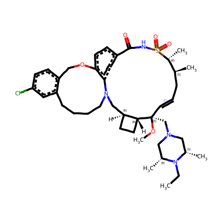 CCN1[C@H](C)CN(C[C@@]2(OC)/C=C/C[C@H](C)[C@@H](C)S(=O)(=O)NC(=O)c3ccc4c(c3)N(CCCCc3cc(Cl)ccc3CO4)C[C@@H]3CC[C@H]32)C[C@@H]1C